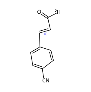 [2H]C(=O)/C=C/c1ccc(C#N)cc1